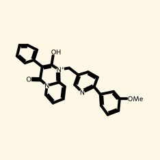 COc1cccc(-c2ccc(C[n+]3c(O)c(-c4ccccc4)c(=O)n4ccccc43)cn2)c1